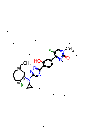 CC[C@@H]1CCC[C@H](F)[C@H](N(c2cnc(-c3ccc(-c4nc(=O)n(C)cc4F)cc3O)nn2)C2CC2)C1